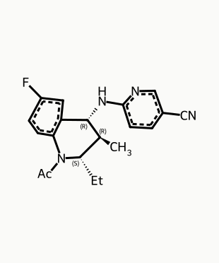 CC[C@H]1[C@H](C)[C@@H](Nc2ccc(C#N)cn2)c2cc(F)ccc2N1C(C)=O